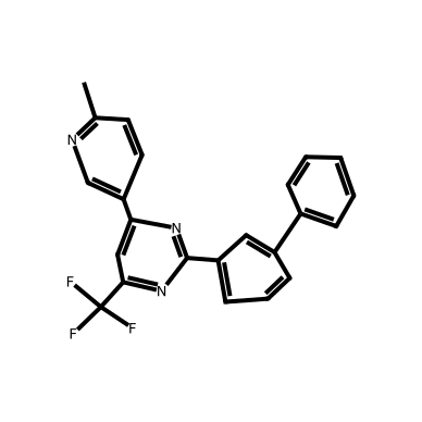 Cc1ccc(-c2cc(C(F)(F)F)nc(-c3cccc(-c4ccccc4)c3)n2)cn1